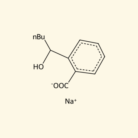 CCCCC(O)c1ccccc1C(=O)[O-].[Na+]